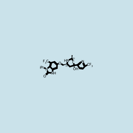 CC(C)n1c(=O)[nH]c2cc(OC[C@@H]3C[C@](O)(c4ccc(C(F)(F)F)nc4)C[C@H](C)N3)cc(C(F)(F)F)c21